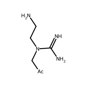 CC(=O)CN(CCN)C(=N)N